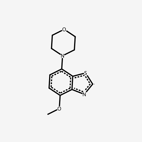 COc1ccc(N2CCOCC2)c2s[c]nc12